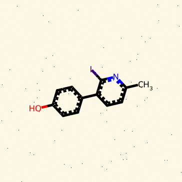 Cc1ccc(-c2ccc(O)cc2)c(I)n1